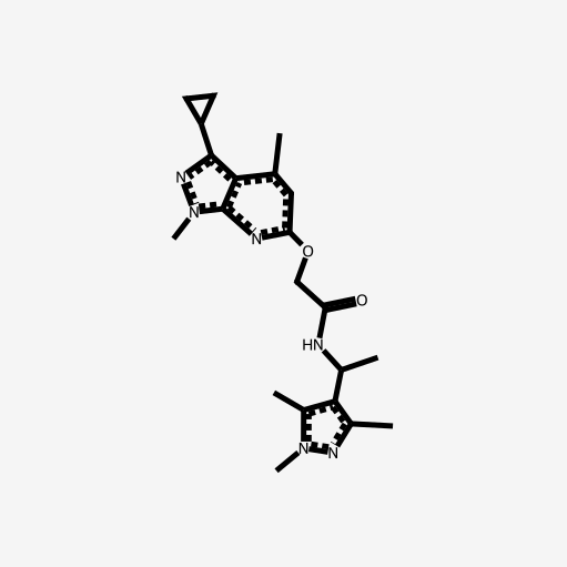 Cc1nn(C)c(C)c1C(C)NC(=O)COc1cc(C)c2c(C3CC3)nn(C)c2n1